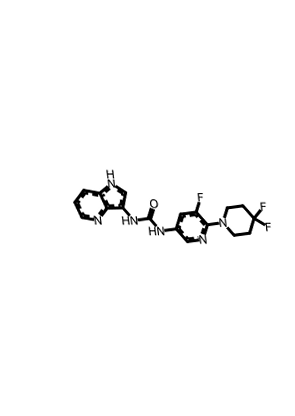 O=C(Nc1cnc(N2CCC(F)(F)CC2)c(F)c1)Nc1c[nH]c2cccnc12